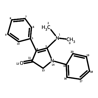 CN(C)C1=C(c2ccccc2)C(=O)CN1c1ccccc1